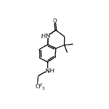 CC1(C)CC(=O)Nc2ccc(NCC(F)(F)F)cc21